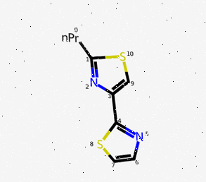 [CH2]CCc1nc(-c2nccs2)cs1